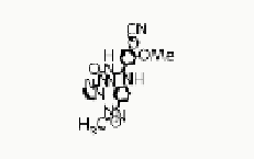 COc1cc(C(Nc2ccc(-c3noc(C)n3)cc2)c2nn(-c3ncccn3)c(=O)[nH]2)ccc1OCC#N